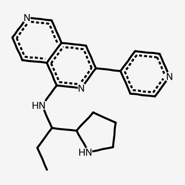 CCC(Nc1nc(-c2ccncc2)cc2cnccc12)C1CCCN1